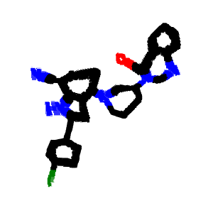 N#Cc1ccc(N2CCCC(n3cnc4ccccc4c3=O)C2)c2cc(-c3ccc(F)cc3)[nH]c12